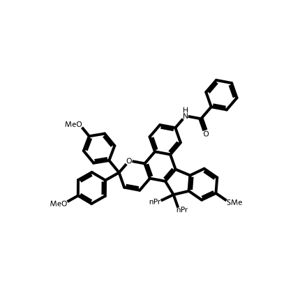 CCCC1(CCC)c2cc(SC)ccc2-c2c1c1c(c3ccc(NC(=O)c4ccccc4)cc23)OC(c2ccc(OC)cc2)(c2ccc(OC)cc2)C=C1